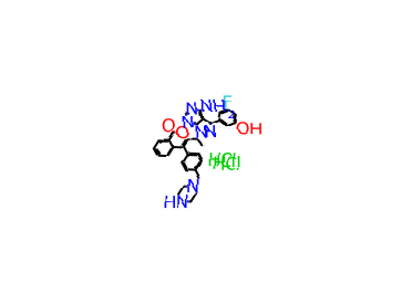 CC(c1oc(=O)c2ccccc2c1-c1ccc(CN2CCNCC2)cc1)n1nc(-c2cc(O)cc(F)c2)c2c(N)ncnc21.Cl.Cl